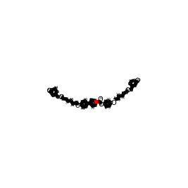 O=C(Oc1ccc(OCCCCCCOCC2CCC3OC3C2)cc1)c1ccc(-c2ccc(OCCCCCCOCC3CCC4OC4C3)cc2)cc1